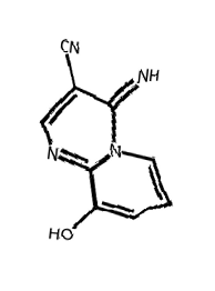 N#Cc1cnc2c(O)cccn2c1=N